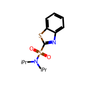 CC(C)N(C(C)C)S(=O)(=O)c1nc2ccccc2s1